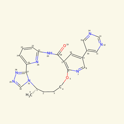 C[C@H]1CCCOc2ncc(-c3cncnc3)cc2C(=O)Nc2cccc(n2)-c2nncn21